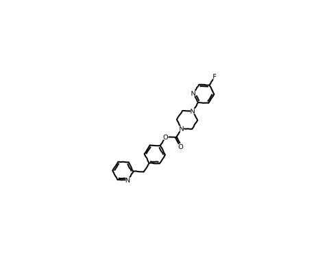 O=C(Oc1ccc(Cc2ccccn2)cc1)N1CCN(c2ccc(F)cn2)CC1